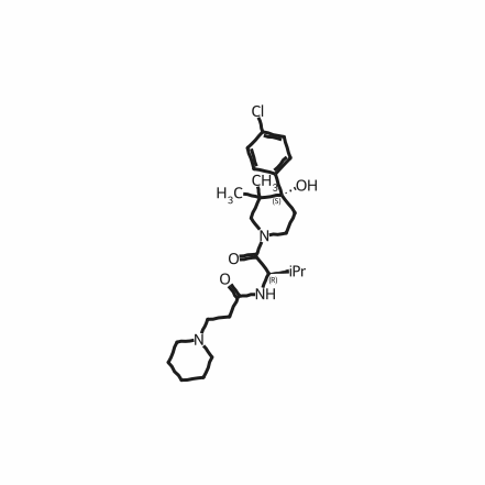 CC(C)[C@@H](NC(=O)CCN1CCCCC1)C(=O)N1CC[C@](O)(c2ccc(Cl)cc2)C(C)(C)C1